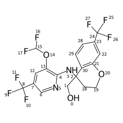 OCC1(Nc2ncc(C(F)(F)F)cc2OC(F)F)CCOc2cc(C(F)(F)F)ccc21